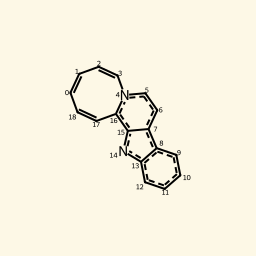 C1=C\C=C/n2ccc3c4ccccc4nc-3c2\C=C/1